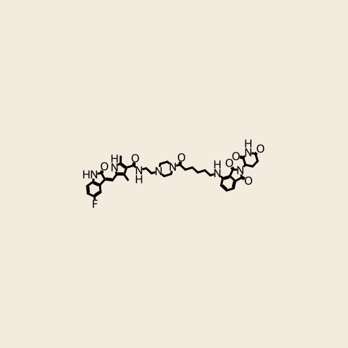 Cc1[nH]c(/C=C2\C(=O)Nc3ccc(F)cc32)c(C)c1C(=O)NCCN1CCN(C(=O)CCCCCNc2cccc3c2C(=O)N(C2CCC(=O)NC2=O)C3=O)CC1